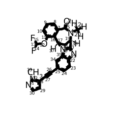 [2H]C([2H])([2H])N1C(=O)c2cccc(OC(F)F)c2[C@H]2C[C@@H]1c1nc3ccc(C#Cc4ccnn4C)cc3n12